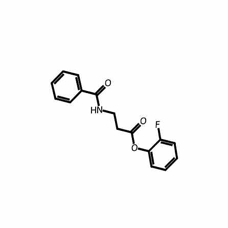 O=C(CCNC(=O)c1ccccc1)Oc1ccccc1F